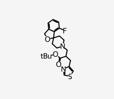 CC(C)(C)OC(=O)C(Cc1cscn1)CN1CCC2(CC1)OCc1cccc(F)c12